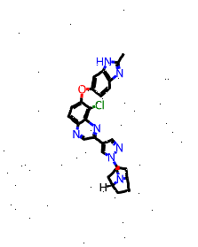 Cc1nc2ccc(Oc3ccc4ncc(-c5cnn(C6CC7CC[C@H](C6)N7C)c5)nc4c3Cl)cc2[nH]1